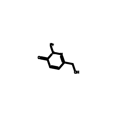 CC(C)n1nc(CO)ccc1=O